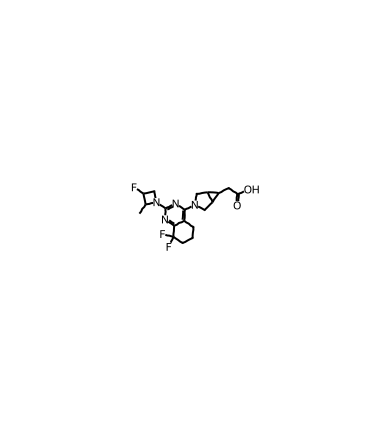 CC1C(F)CN1c1nc(N2CC3C(CC(=O)O)C3C2)c2c(n1)C(F)(F)CCC2